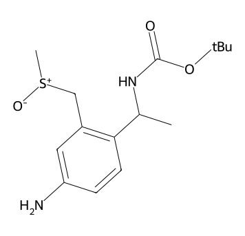 CC(NC(=O)OC(C)(C)C)c1ccc(N)cc1C[S+](C)[O-]